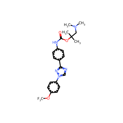 CN(C)CC(C)(C)OC(=O)Nc1ccc(-c2ncn(-c3ccc(OC(F)(F)F)cc3)n2)cc1